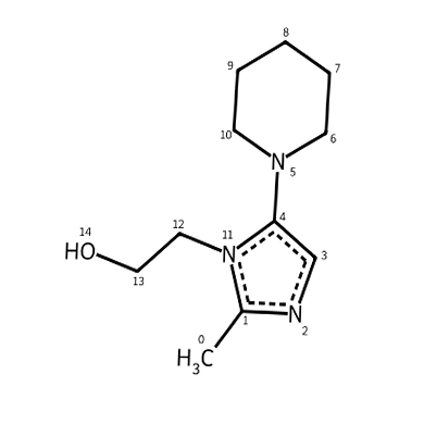 Cc1ncc(N2CCCCC2)n1CCO